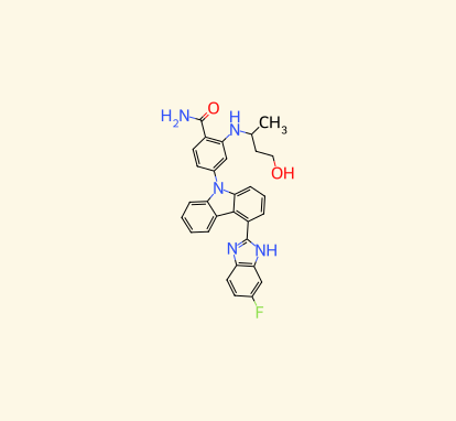 CC(CCO)Nc1cc(-n2c3ccccc3c3c(-c4nc5ccc(F)cc5[nH]4)cccc32)ccc1C(N)=O